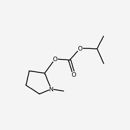 CC(C)OC(=O)O[C]1CCCN1C